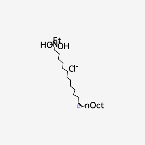 CCCCCCCC/C=C\CCCCCCCCCCCC[N+](O)(O)CC.[Cl-]